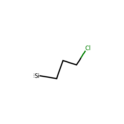 [Si]CCCCl